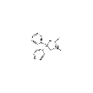 CC1CC(c2ccccc2)(c2ccccc2)CN1C